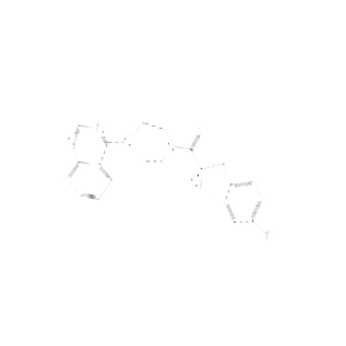 N[C@H](Cc1ccc(F)cc1)C(=O)N1CCN(c2ncnc3ccccc23)CC1